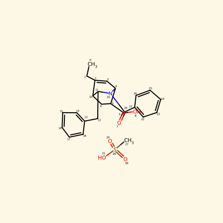 CCC1=CC2C(C(=O)O)CC1C(Cc1ccccc1)N2Cc1ccccc1.CS(=O)(=O)O